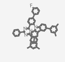 Cc1cc(C)cc(-c2ccc3c(c2)c2cc(-c4cc(C)cc(C)c4)ccc2n3-c2cc(-c3cccc(F)c3)ccc2-c2nc(-c3ccccc3)nc(-c3ccccc3)n2)c1